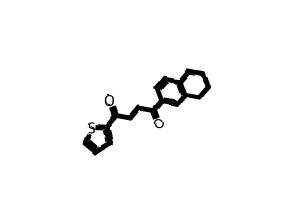 O=C(CCC(=O)c1cccs1)c1ccc2c(c1)CCCC2